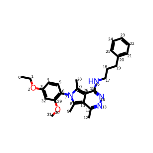 CCOc1ccc(-n2c(C)c3c(C)nnc(NCCCc4ccccc4)c3c2C)c(OC)c1